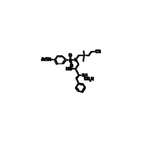 CC(=O)Nc1ccc(S(=O)(=O)N(C[C@H](O)[C@H](Cc2ccccc2)NC(=O)O)CC(C)(C)CCC#N)cc1